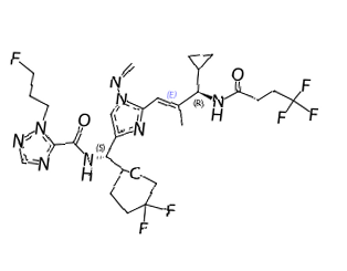 C=Nn1cc([C@@H](NC(=O)c2ncnn2CCCF)C2CCC(F)(F)CC2)nc1/C=C(\C)[C@H](NC(=O)CCC(F)(F)F)C1CC1